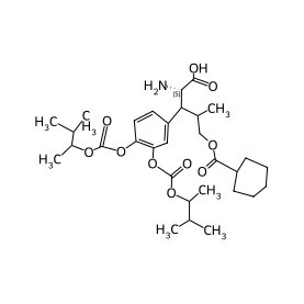 CC(C)C(C)OC(=O)Oc1ccc(C(C(C)COC(=O)C2CCCCC2)[C@H](N)C(=O)O)cc1OC(=O)OC(C)C(C)C